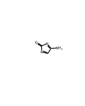 NC1=NC(=O)[N+]=C1